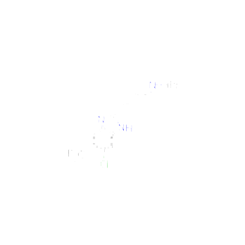 CC(C)N(C)CCCCc1nc2cc(C(F)(F)F)c(Cl)cc2[nH]1